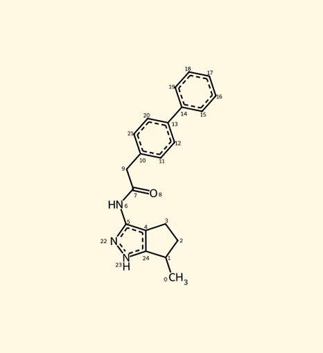 CC1CCc2c(NC(=O)Cc3ccc(-c4ccccc4)cc3)n[nH]c21